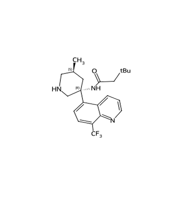 C[C@@H]1CNC[C@](NC(=O)CC(C)(C)C)(c2ccc(C(F)(F)F)c3ncccc23)C1